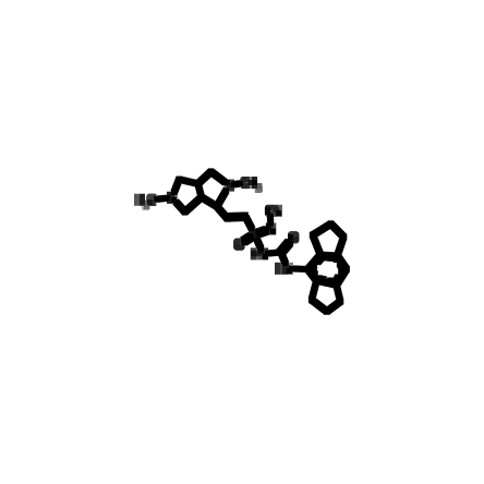 CN1CC2CN(C)C(/C=C/S(=O)(=NC#N)NC(=O)Nc3c4c(cc5c3CCC5)CCC4)C2C1